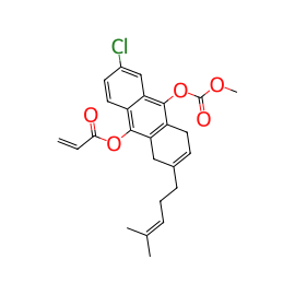 C=CC(=O)Oc1c2c(c(OC(=O)OC)c3cc(Cl)ccc13)CC=C(CCC=C(C)C)C2